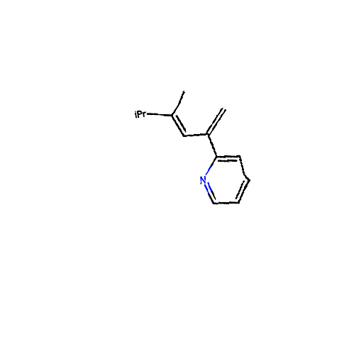 C=C(/C=C(\C)C(C)C)c1ccccn1